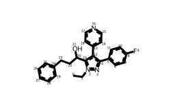 CCn1nc(-c2ccc(F)cc2)c(-c2ccncc2)c1C(O)CCc1ccccc1